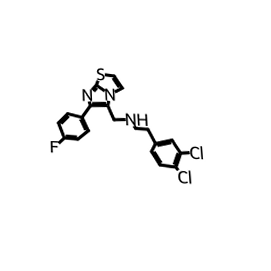 Fc1ccc(-c2nc3sccn3c2CNCCc2ccc(Cl)c(Cl)c2)cc1